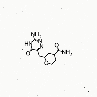 NC(=O)C1CCOC(Cc2nnc(N)[nH]c2=O)C1